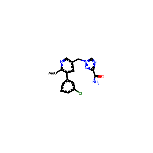 COc1ncc(Cn2cnc(C(N)=O)n2)cc1-c1cccc(Cl)c1